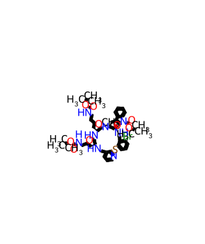 CN1C(=O)[C@H](CCCCNC(=O)OC(C)(C)C)NC(=O)[C@H](CCCNC(=O)OC(C)(C)C)NCc2cccnc2Sc2cccc(Br)c2CNC(=O)[C@@H]1Cc1cn(C(=O)OC(C)(C)C)c2ccccc12